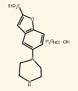 CCOC(=O)c1cc2cc(N3CCNCC3)ccc2o1.Cl.Cl.O